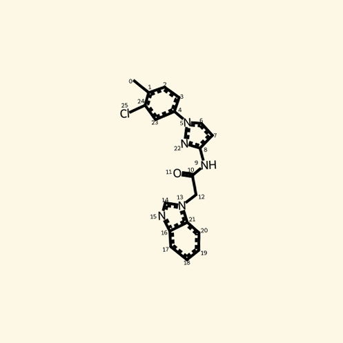 Cc1ccc(-n2ccc(NC(=O)Cn3cnc4ccccc43)n2)cc1Cl